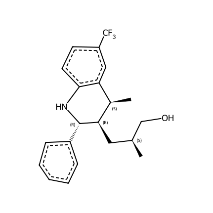 C[C@H](CO)C[C@@H]1[C@H](C)c2cc(C(F)(F)F)ccc2N[C@H]1c1ccccc1